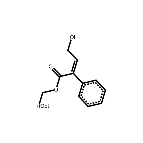 CCCCCCCCCOC(=O)C(=CCO)c1ccccc1